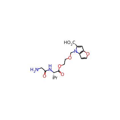 CC(C)[C@H](NC(=O)CN)C(=O)OCCOCn1c(C(=O)O)cc2occc21